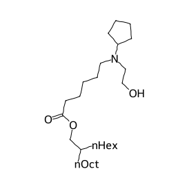 CCCCCCCCC(CCCCCC)COC(=O)CCCCCN(CCO)C1CCCC1